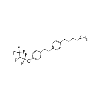 CCCCCc1ccc(CCc2ccc(OC(F)(F)C(F)C(F)(F)F)cc2)cc1